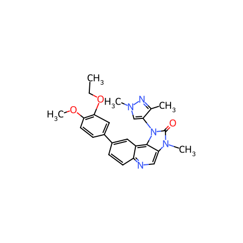 CCOc1cc(-c2ccc3ncc4c(c3c2)n(-c2cn(C)nc2C)c(=O)n4C)ccc1OC